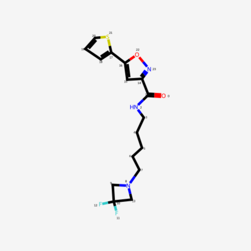 O=C(NCCCCCN1CC(F)(F)C1)c1cc(-c2cccs2)on1